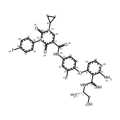 C[C@@H](CO)NC(=N)c1c(Oc2ccc(NC(=O)c3cn(C4CC4)c(=O)n(-c4ccc(F)cc4)c3=O)cc2F)ccnc1N